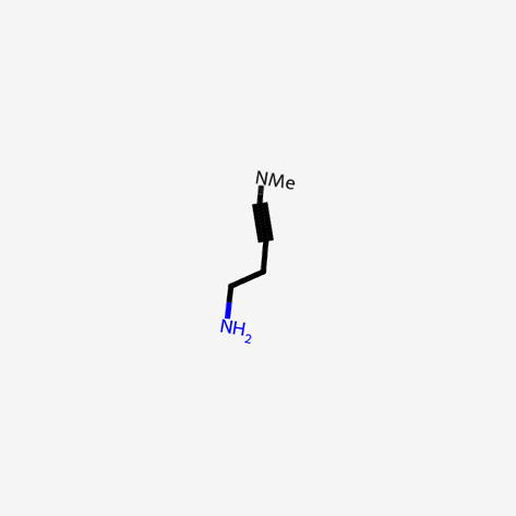 CNC#CCCN